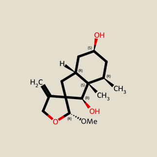 C=C1CO[C@@H](OC)C12C[C@@H]1C[C@@H](O)C[C@@H](C)[C@]1(C)[C@H]2O